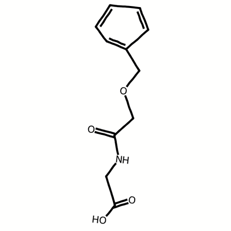 O=C(O)CNC(=O)COCc1ccccc1